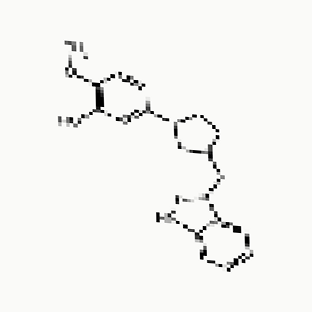 COc1ccc(C2CCN(Cc3c[nH]c4ccccc34)C2)cc1O